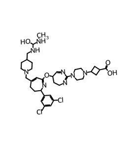 CNC(O)NCC1CCN(CC2=CC(OC3C=NC(N4CCN(C5CC(C(=O)O)C5)CC4)=NCC3)=NC(c3cc(Cl)cc(Cl)c3)CC2)CC1